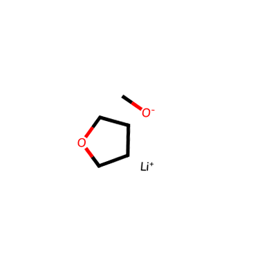 C1CCOC1.C[O-].[Li+]